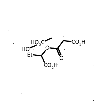 CC(=O)O.CCC(OC(=O)CC(=O)O)C(=O)O.CO